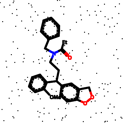 CCC(=O)N(CCC(c1ccc2c(c1)COO2)c1ccccc1OC)Cc1ccccc1